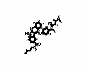 CCCCN(C)C(=O)c1ccc2c(c1)C(=C(Nc1ccc(N(C)C(=O)CCN(C)C)cc1)c1ccccc1)C(=O)N2